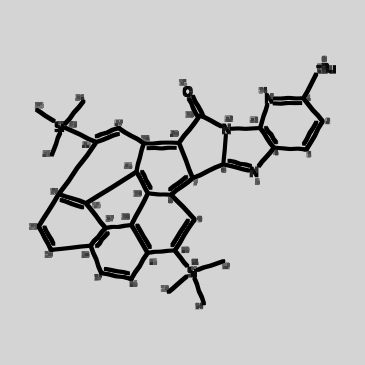 CC(C)(C)c1ccc2nc3c4c5cc([Si](C)(C)C)c6ccc7ccc8c([Si](C)(C)C)cc(c4c(=O)n3c2n1)c1c8c7c6c51